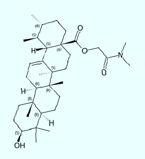 C[C@H]1[C@H](C)CC[C@]2(C(=O)OCC(=O)N(C)C)CC[C@]3(C)C(=CC[C@@H]4[C@@]5(C)CC[C@H](O)C(C)(C)[C@@H]5CC[C@]43C)[C@H]12